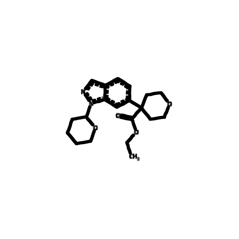 CCOC(=O)C1(c2ccc3cnn(C4CCCCO4)c3c2)CCOCC1